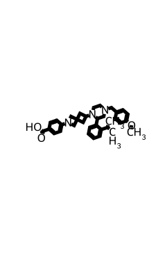 COc1ccc(CN2CCN(C3CC4(C3)CN(c3ccc(C(=O)O)cc3)C4)C(c3ccccc3C(C)C)C2)cc1